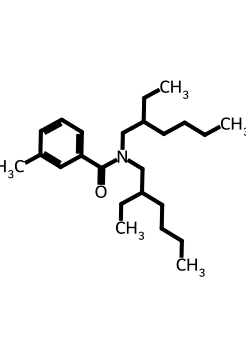 CCCCC(CC)CN(CC(CC)CCCC)C(=O)c1cccc(C)c1